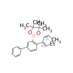 C/C=C\C(=C/CC)c1ccc(-c2ccccc2)cc1B1OC(C)(C)C(C)(C)O1